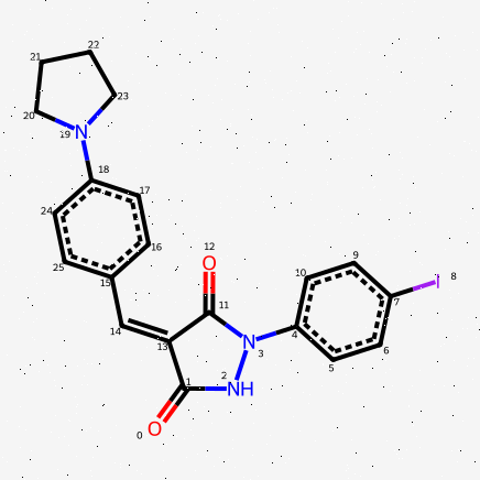 O=C1NN(c2ccc(I)cc2)C(=O)/C1=C\c1ccc(N2CCCC2)cc1